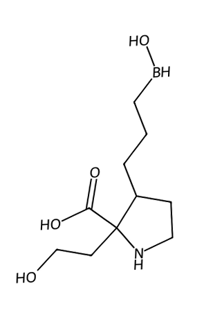 O=C(O)C1(CCO)NCCC1CCCBO